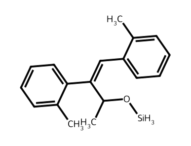 Cc1ccccc1C=C(c1ccccc1C)C(C)O[SiH3]